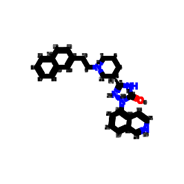 O=c1[nH]c([C@H]2CCCN(CCc3ccc4ccccc4c3)C2)nn1-c1cccc2cnccc12